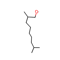 CC(C)CCCCCC(C)C[O]